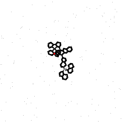 c1ccc(C2(c3ccccc3)c3ccccc3-c3cccc(-c4c5ccccc5c(-c5ccc6cc(N(c7cccc8ccccc78)c7cccc8ccccc78)ccc6c5)c5cc6ccccc6cc45)c32)cc1